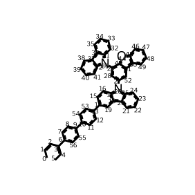 C/C=C\C(=C/C)c1ccc(-c2ccc(-c3ccc4c(c3)c3ccccc3n4-c3cc(-n4c5ccccc5c5ccccc54)c4oc5ccccc5c4c3)cc2)cc1